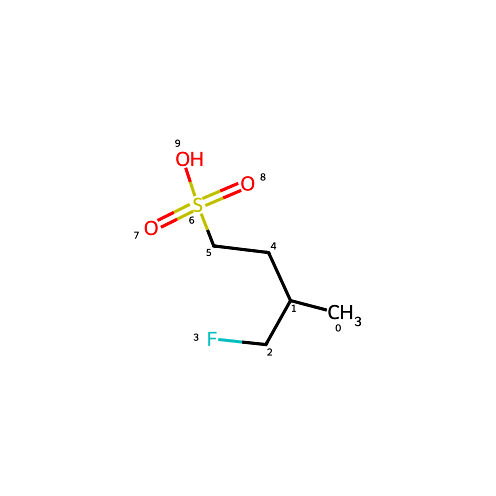 CC(CF)CCS(=O)(=O)O